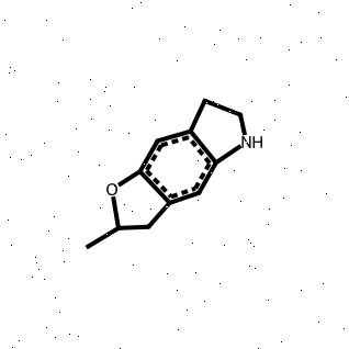 CC1Cc2cc3c(cc2O1)CCN3